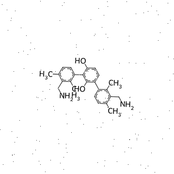 Cc1ccc(-c2ccc(O)c(-c3ccc(C)c(CN)c3C)c2O)c(C)c1CN